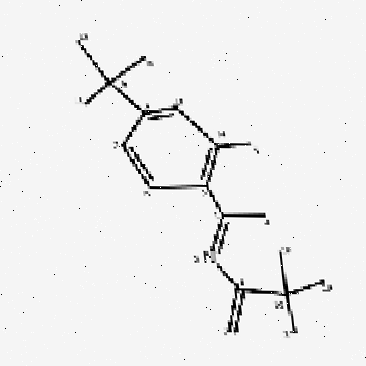 C=C(/N=C(\C)c1ccc(C(C)(C)C)cc1C)C(C)(C)C